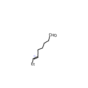 CC/C=C/CCCCC=O